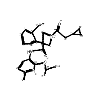 Cc1ccc(NC(=O)C2(c3ccccc3C(C)C)CN(C(=O)CC3CC3)C2)c(OC(F)F)n1